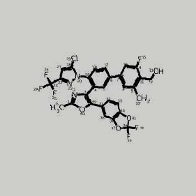 Cc1nc(-c2cc(-c3cc(C)c(CO)c(F)c3)ccc2-n2nc(C(F)(F)F)cc2Cl)c(-c2ccc3c(c2)OC(F)(F)O3)o1